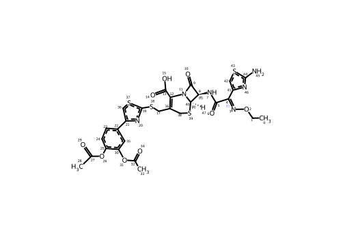 CCO/N=C(/C(=O)N[C@@H]1C(=O)N2C(C(=O)O)=C(CSc3nc(-c4ccc(OC(C)=O)c(OC(C)=O)c4)cs3)CS[C@H]12)c1csc(N)n1